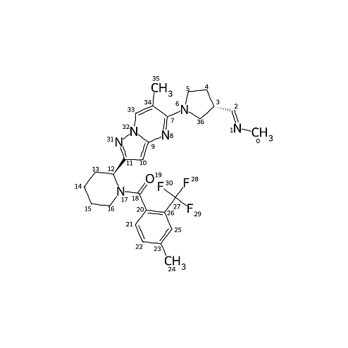 CN=C[C@H]1CCN(c2nc3cc([C@@H]4CCCCN4C(=O)c4ccc(C)cc4C(F)(F)F)nn3cc2C)C1